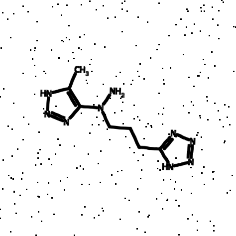 Cc1[nH]nnc1N(N)CCCc1nnn[nH]1